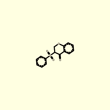 O=C1c2ccccc2OCC1S(=O)(=O)c1ccccc1